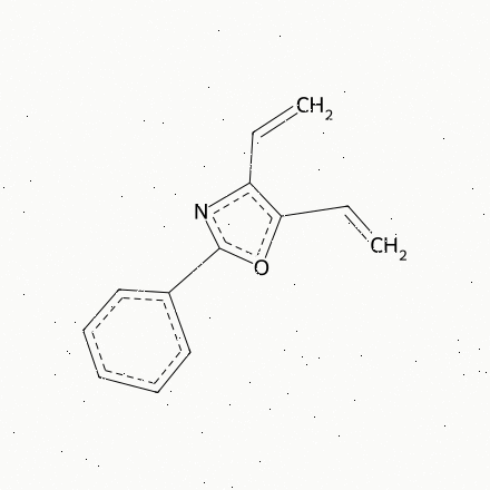 C=Cc1nc(-c2ccccc2)oc1C=C